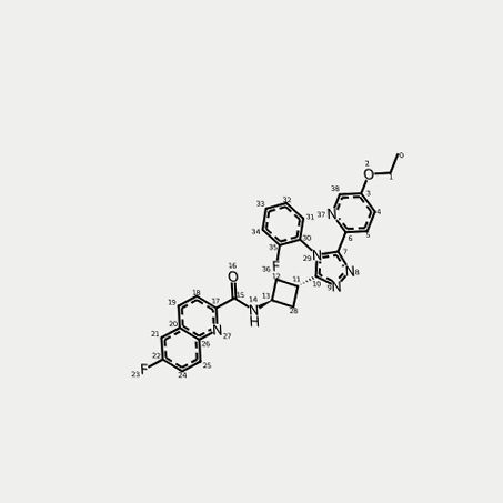 CCOc1ccc(-c2nnc([C@H]3C[C@H](NC(=O)c4ccc5cc(F)ccc5n4)C3)n2-c2ccccc2F)nc1